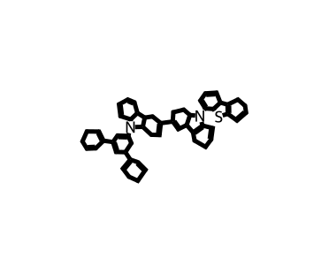 C1=CC2C3=C(C=CCC3)SC2C(N2C3=C(CCC=C3)C3C=C(C4=CCC5C(C4)C4C=CC=CC4N5C4=CC(C5=CCCC=C5)=CC(C5=CCCC=C5)C4)CCC32)=C1